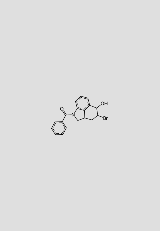 O=C(c1ccccc1)N1CC2CC(Br)C(O)c3cccc1c32